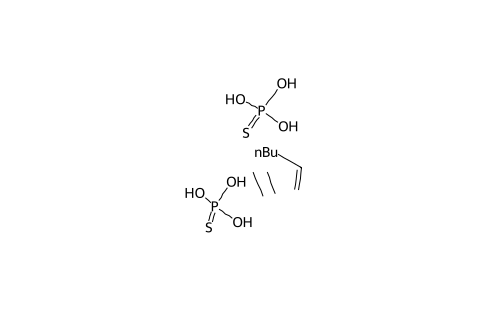 C=CCCCC.CC.CC.OP(O)(O)=S.OP(O)(O)=S